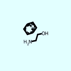 NCCO.c1cc2ccc1o2